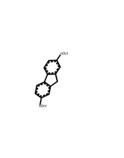 CCCCCCCCc1ccc2c(c1)Cc1cc(CCCCCCCC)ccc1-2